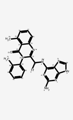 CCC(Nc1nc(N)nc2[nH]cnc12)c1nc2cccc(C)c2c(=O)n1-c1ccccc1C